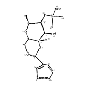 C[C@@H]1OC2COC(c3ccccc3)O[C@H]2[C@H](O)C1O[Si](C)(C)C(C)(C)C